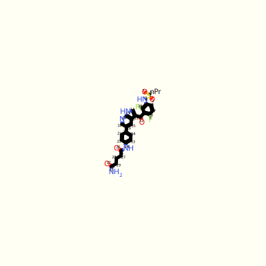 CCCS(=O)(=O)Nc1ccc(F)c(C(=O)c2c[nH]c3ncc(-c4ccc(NC(=O)CCCC(N)=O)cc4)cc23)c1F